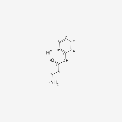 I.NCCC(=O)Oc1ccccc1